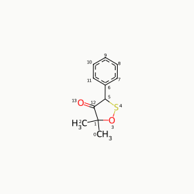 CC1(C)OSC(c2ccccc2)C1=O